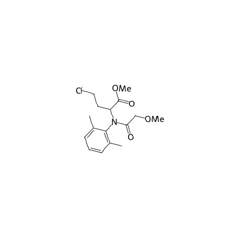 COCC(=O)N(c1c(C)cccc1C)C(CCCl)C(=O)OC